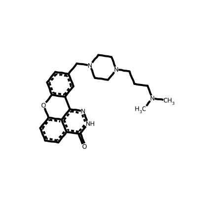 CN(C)CCCN1CCN(Cc2ccc3c(c2)-c2n[nH]c(=O)c4cccc(c24)O3)CC1